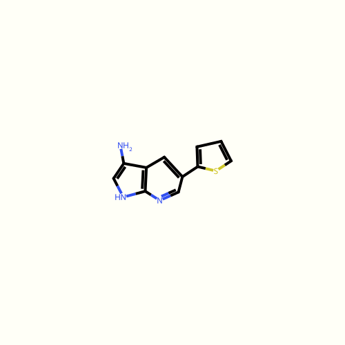 Nc1c[nH]c2ncc(-c3cccs3)cc12